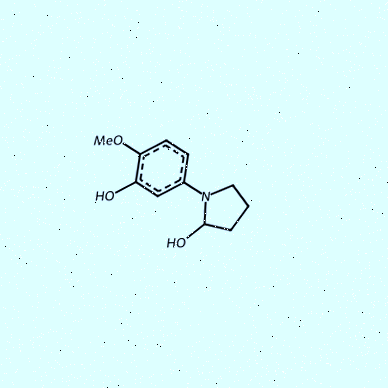 COc1ccc(N2CCCC2O)cc1O